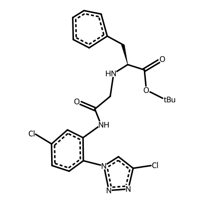 CC(C)(C)OC(=O)[C@H](Cc1ccccc1)NCC(=O)Nc1cc(Cl)ccc1-n1cc(Cl)nn1